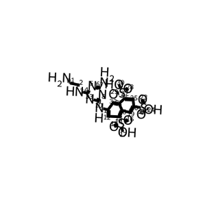 NCCNc1nc(N)nc(Nc2cc(S(=O)(=O)O)c3cc(S(=O)(=O)O)cc(S(=O)(=O)O)c3c2)n1